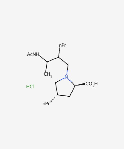 CCCC(CN1C[C@@H](CCC)C[C@@H]1C(=O)O)C(C)NC(C)=O.Cl